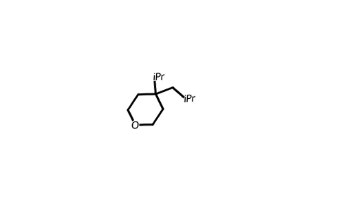 CC(C)CC1(C(C)C)CCOCC1